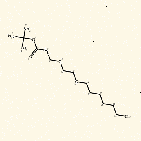 CC(C)(C)OC(=O)CCOCCOCCCCCCCl